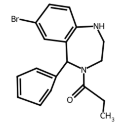 CCC(=O)N1CCNc2ccc(Br)cc2C1c1ccccc1